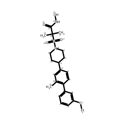 CCOc1cccc(-c2ccc(C3CCN(S(=O)(=O)C(C)(C)C(=O)NO)CC3)cc2C)c1